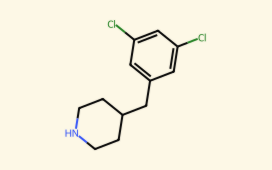 Clc1cc(Cl)cc(CC2CCNCC2)c1